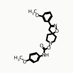 COc1ccc(NC(=O)ON2CCC3(CC2)CC(c2cccc(OC)c2)=NO3)cc1